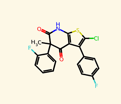 CC1(c2ccccc2F)C(=O)Nc2sc(Cl)c(-c3ccc(F)cc3)c2C1=O